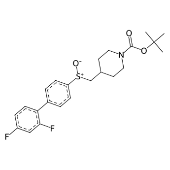 CC(C)(C)OC(=O)N1CCC(C[S+]([O-])c2ccc(-c3ccc(F)cc3F)cc2)CC1